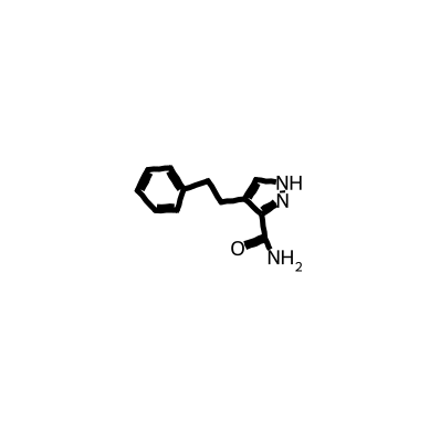 NC(=O)c1n[nH]cc1CCc1ccccc1